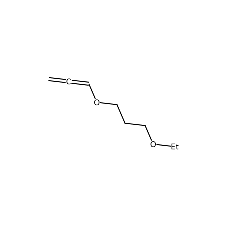 C=C=COCCCOCC